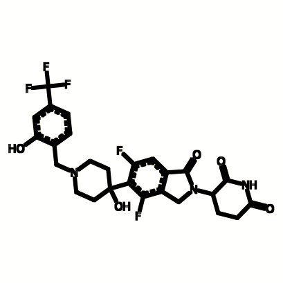 O=C1CCC(N2Cc3c(cc(F)c(C4(O)CCN(Cc5ccc(C(F)(F)F)cc5O)CC4)c3F)C2=O)C(=O)N1